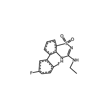 CCNC1=NS(=O)(=O)c2cccc(-c3cc(F)ccc3F)c2N1